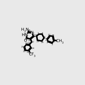 Cc1ccc([C@H]2CC[C@H](c3nc(N)[nH]c(=O)c3Cc3cccc(C(F)(F)F)c3)CC2)cc1